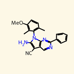 COc1ccc(C)c(-n2c(N)c(C#N)c3cnc(-c4ccccc4)nc32)c1C